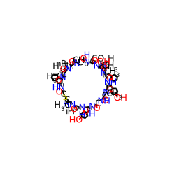 CCCC[C@H]1C(=O)N(C)CC(=O)N[C@@H](CC(=O)O)C(=O)N[C@@H]([C@@H](C)O)C(=O)N(C)[C@@H](Cc2ccccc2)C(=O)N[C@@H](Cc2ccc(O)cc2)C(=O)N(C)CC(=O)NCC(=O)N[C@@H](Cc2ccc(O)cc2)C(=O)N[C@@H](CC(C)C)C(=O)N[C@H](C)CSCC(=O)N[C@@H](Cc2ccccc2)C(=O)N(C)CC(=O)N1C